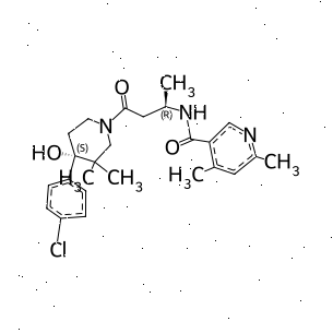 Cc1cc(C)c(C(=O)N[C@H](C)CC(=O)N2CC[C@](O)(c3ccc(Cl)cc3)C(C)(C)C2)cn1